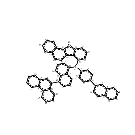 c1ccc2cc(-c3ccc(N(c4cccc5c(-c6cc7ccccc7c7ccccc67)cccc45)c4cccc5oc6c7ccccc7ccc6c45)cc3)ccc2c1